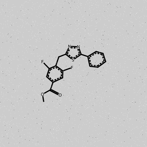 COC(=O)c1cc(F)c(Cc2nnc(-c3ccccc3)s2)c(F)c1